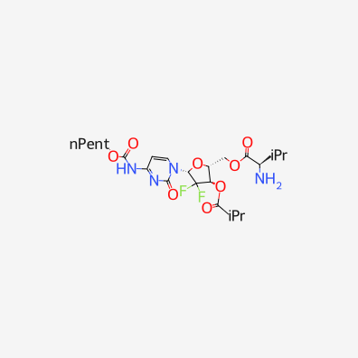 CCCCCOC(=O)Nc1ccn([C@@H]2O[C@H](COC(=O)[C@H](N)C(C)C)[C@@H](OC(=O)C(C)C)C2(F)F)c(=O)n1